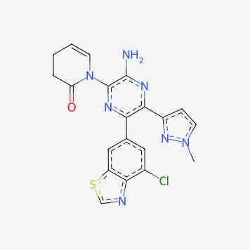 Cn1ccc(-c2nc(N)c(N3C=CCCC3=O)nc2-c2cc(Cl)c3ncsc3c2)n1